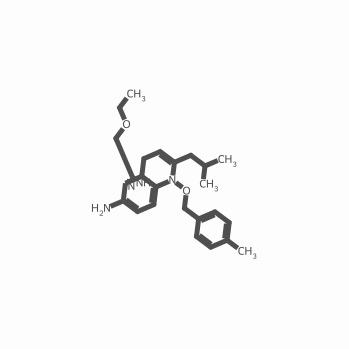 CCOCC1N=C2C(N)=CC=C3N(OCc4ccc(C)cc4)C(CC(C)C)=CCC32N1